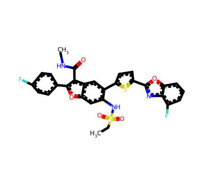 CCS(=O)(=O)Nc1cc2oc(-c3ccc(F)cc3)c(C(=O)NC)c2cc1-c1ccc(-c2nc3c(F)cccc3o2)s1